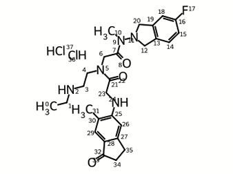 CCNCCN(CC(=O)N(C)N1Cc2ccc(F)cc2C1)C(=O)CNc1cc2c(cc1C)C(=O)CC2.Cl.Cl